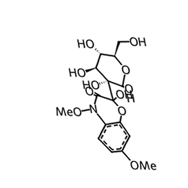 COc1ccc2c(c1)OC(O)([C@]1(O)[C@H](O)O[C@H](CO)[C@@H](O)[C@@H]1O)C(=O)N2OC